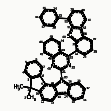 CC1(C)c2ccccc2-c2c1ccc1c3ccccc3n(-c3nc(-c4cccc5c4sc4c(-c6ccccc6)cccc45)c4ccccc4n3)c21